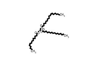 CCCC/C=C\CCCCCCCC(=O)OC[C@@H](COC(=O)CCCCCCCCC/C=C\CCCCCC)OC(=O)CCCCCCCCCCCCCCC